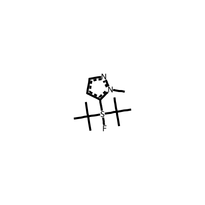 Cn1nccc1S(F)(C(C)(C)C)C(C)(C)C